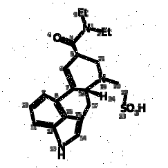 CCN(CC)C(=O)[C@@H]1C=C2c3cccc4[nH]cc(c34)C[C@H]2N(C)C1.CS(=O)(=O)O